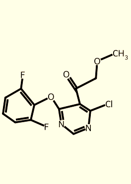 COCC(=O)c1c(Cl)ncnc1Oc1c(F)cccc1F